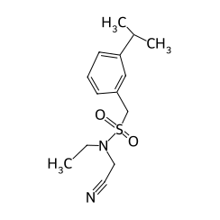 CCN(CC#N)S(=O)(=O)Cc1cccc(C(C)C)c1